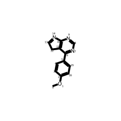 COc1ccc(-c2ncnc3c2CC=N3)cc1